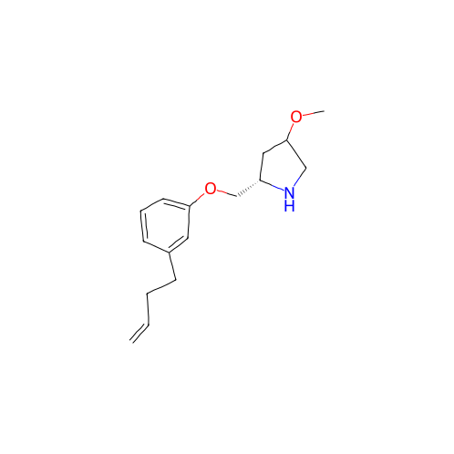 C=CCCc1cccc(OC[C@@H]2CC(OC)CN2)c1